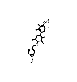 COOc1c(C)cc(-c2cc(C)c(OCc3ccc4c(c3)N4OC)c(C)c2C)c(C)c1C